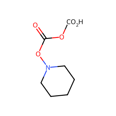 O=C(O)OC(=O)ON1CCCCC1